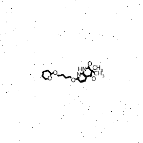 CC1(C)C(=O)Nc2nc(OCCCCOC3CCCCO3)ccc2C1=O